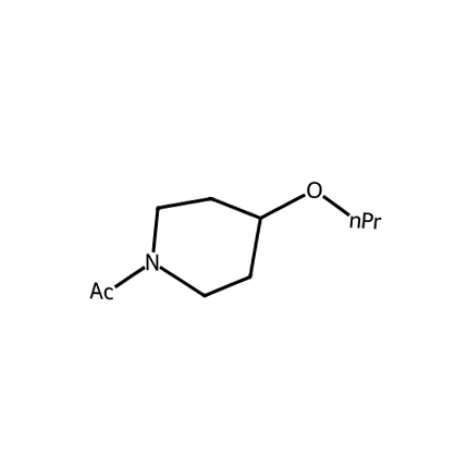 CCCOC1CCN(C(C)=O)CC1